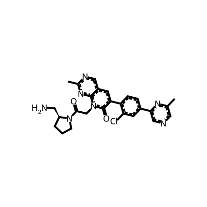 Cc1cncc(-c2ccc(-c3cc4cnc(C)nc4n(CC(=O)N4CCC[C@H]4CN)c3=O)c(Cl)c2)n1